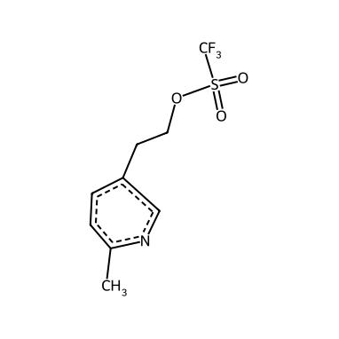 Cc1ccc(CCOS(=O)(=O)C(F)(F)F)cn1